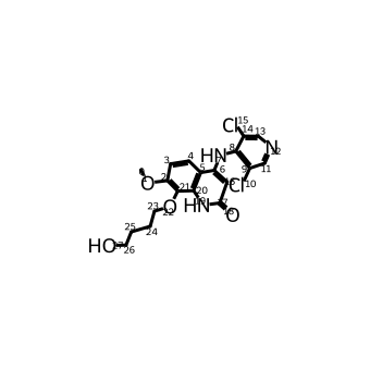 COc1ccc2c(Nc3c(Cl)cncc3Cl)cc(=O)[nH]c2c1OCCCCO